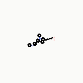 CBCCCCCCc1ccc(N(c2ccccc2)c2ccc(-c3ccc(Nc4ccccc4)cc3)cc2)c2ccccc12